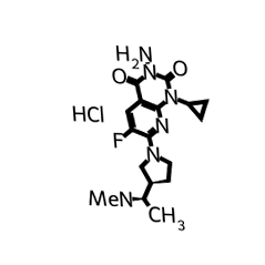 CN[C@H](C)[C@@H]1CCN(c2nc3c(cc2F)c(=O)n(N)c(=O)n3C2CC2)C1.Cl